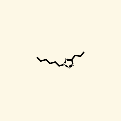 CCCCCCn1nnc(CCC)n1